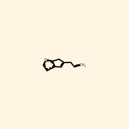 C=CCC1=Cc2ccoc2C1